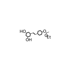 CCOC(C)Oc1ccc(C=Cc2cc(O)cc(O)c2)cc1